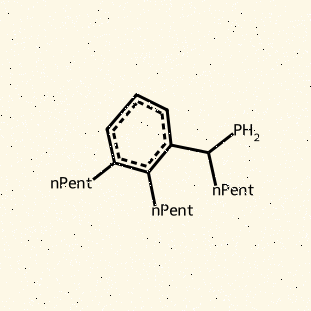 CCCCCc1cccc(C(P)CCCCC)c1CCCCC